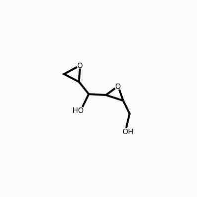 OCC1OC1C(O)C1CO1